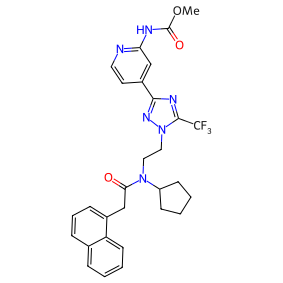 COC(=O)Nc1cc(-c2nc(C(F)(F)F)n(CCN(C(=O)Cc3cccc4ccccc34)C3CCCC3)n2)ccn1